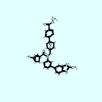 COC(=O)c1ccc(C23CCC(CN(C(=O)C45CC(F)C(C4)C5)c4cccc(-c5ccc6nc(C)sc6c5)c4)(CC2)CO3)cc1